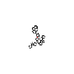 CC1(C)c2ccccc2-c2ccc(N(c3ccccc3)c3cccc4oc5c6ccccc6c(-c6ccc(-c7ccc8ccc9cccc%10ccc7c8c9%10)cc6)cc5c34)cc21